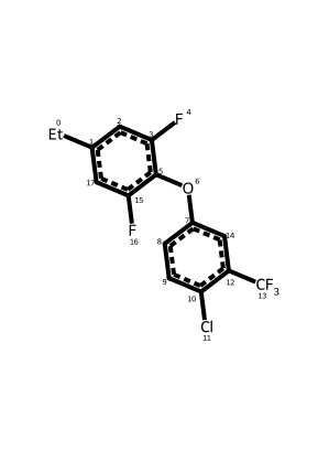 [CH2]Cc1cc(F)c(Oc2ccc(Cl)c(C(F)(F)F)c2)c(F)c1